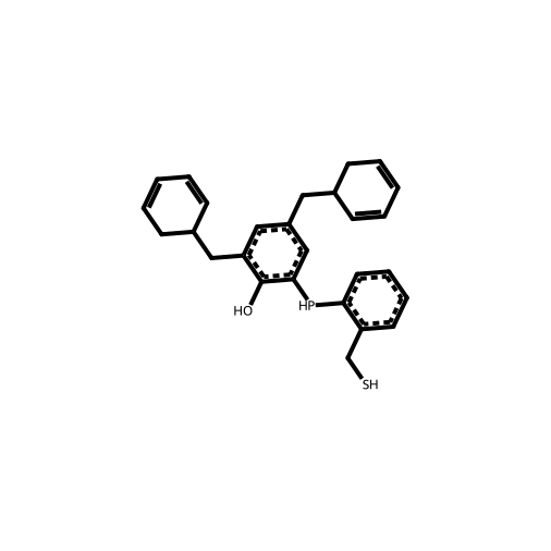 Oc1c(CC2C=CC=CC2)cc(CC2C=CC=CC2)cc1Pc1ccccc1CS